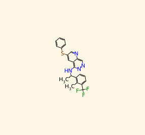 Cc1c([C@@H](C)Nc2nncc3ncc(Sc4ccccc4)cc23)cccc1C(F)(F)F